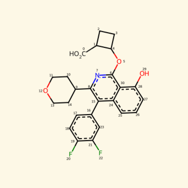 O=C(O)C1CCC1Oc1nc(C2CCOCC2)c(-c2ccc(F)c(F)c2)c2cccc(O)c12